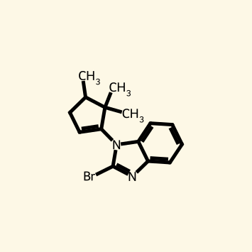 CC1CC=C(n2c(Br)nc3ccccc32)C1(C)C